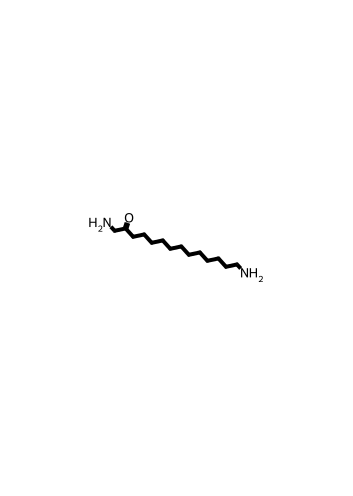 NCCCCCCCCCCCCC(=O)CN